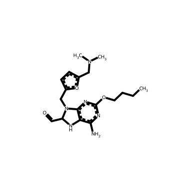 CCCCOc1nc(N)c2c(n1)N(Cc1ccc(CN(C)C)o1)C(C=O)N2